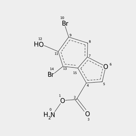 NOC(=O)c1coc2cc(Br)c(O)c(Br)c12